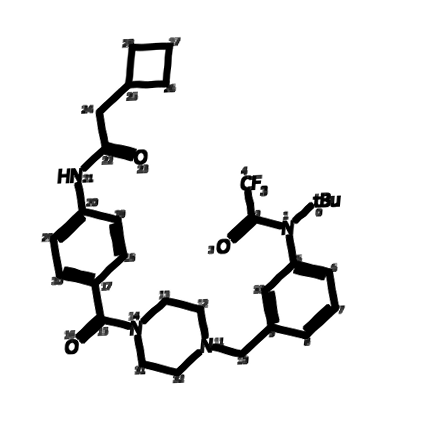 CC(C)(C)N(C(=O)C(F)(F)F)c1cccc(CN2CCN(C(=O)c3ccc(NC(=O)CC4CCC4)cc3)CC2)c1